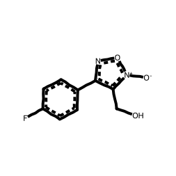 [O-][n+]1onc(-c2ccc(F)cc2)c1CO